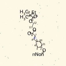 CCCCCCCCCOc1ccc(/C=C/C(=O)OCCOC(=O)C(C)(C)CC)cc1